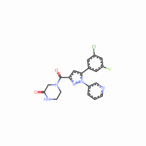 O=C1CN(C(=O)c2cc(-c3cc(F)cc(Cl)c3)n(-c3cccnc3)n2)CCN1